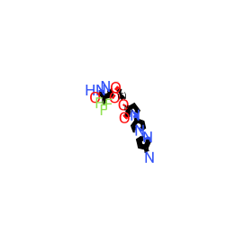 COC[C@@H](CO[C@H]1CCN(C2CCN(c3ccc(C#N)cn3)CC2)C1=O)Oc1cn[nH]c(=O)c1C(F)(F)F